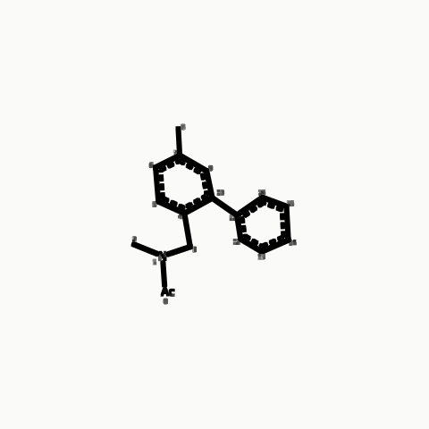 CC(=O)N(C)Cc1ccc(C)cc1-c1ccccc1